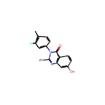 Cc1ccc(-n2c(C(C)C)nc3cc(O)ccc3c2=O)cc1F